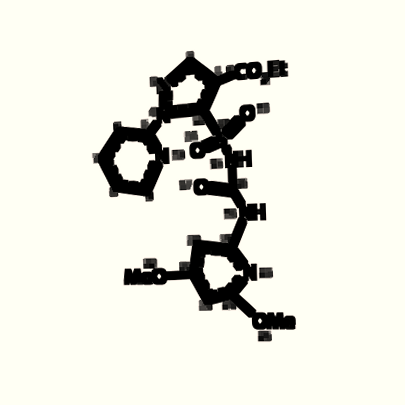 CCOC(=O)c1cnn(-c2ccccn2)c1S(=O)(=O)NC(=O)Nc1cc(OC)cc(OC)n1